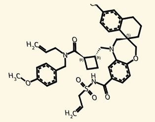 C=CCN(Cc1ccc(OC)cc1)C(=O)[C@@H]1CC[C@H]1CN1C[C@@]2(CCCc3cc(Cl)ccc32)COc2ccc(C(=O)NS(=O)(=O)CC=C)cc21